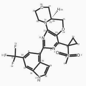 CS(=O)(=O)C1(c2nc(-c3cc(C(F)(F)F)cc4[nH]ccc34)nc3c2OC[C@@H]2COCCN32)CC1